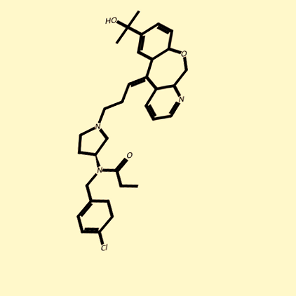 CCC(=O)N(CC1=CC=C(Cl)CC1)[C@H]1CCN(CC/C=C2\C3C=CC=NC3COC3C=CC(C(C)(C)O)=CC23)C1